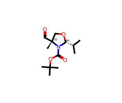 CC(C)[C@H]1OC[C@@](C)(C=O)N1C(=O)OC(C)(C)C